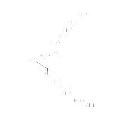 O.O.O.O.O.O.O.O.O.O.O.O.O=S(=O)(O)O.[AlH3]